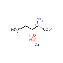 N[C@@H](CCC(=O)O)C(=O)O.O.O.[Cu]